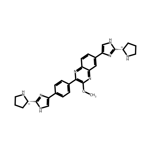 COc1nc2cc(-c3c[nH]c([C@@H]4CCCN4)n3)ccc2nc1-c1ccc(-c2c[nH]c([C@@H]3CCCN3)n2)cc1